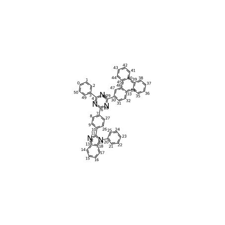 c1ccc(-c2nc(-c3ccc(-c4nc5ccccc5n4-c4ccccc4)cc3)nc(-c3ccc4c5ccccc5c5ccccc5c4c3)n2)cc1